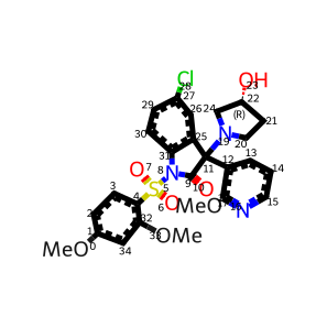 COc1ccc(S(=O)(=O)N2C(=O)C(c3cccnc3OC)(N3CC[C@@H](O)C3)c3cc(Cl)ccc32)c(OC)c1